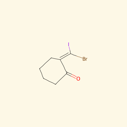 O=C1CCCCC1=C(Br)I